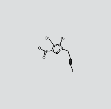 O=[N+]([O-])c1cn(CC#CI)c(Br)c1Br